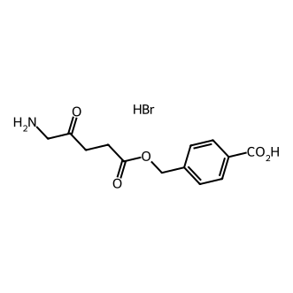 Br.NCC(=O)CCC(=O)OCc1ccc(C(=O)O)cc1